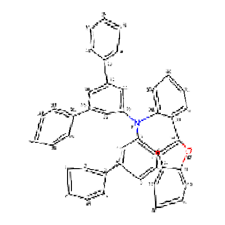 c1ccc(-c2cccc(N(c3cc(-c4ccccc4)cc(-c4ccccc4)c3)c3ccccc3-c3cc4ccccc4o3)c2)cc1